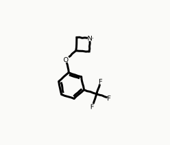 FC(F)(F)c1cccc(OC2C[N]C2)c1